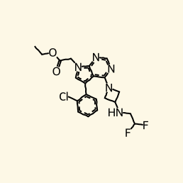 CCOC(=O)Cn1cc(-c2ccccc2Cl)c2c(N3CC(NCC(F)F)C3)ncnc21